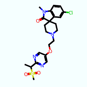 CC(c1ncc(OCCN2CCC3(CC2)C(=O)N(C)c2ccc(Cl)cc23)cn1)S(C)(=O)=O